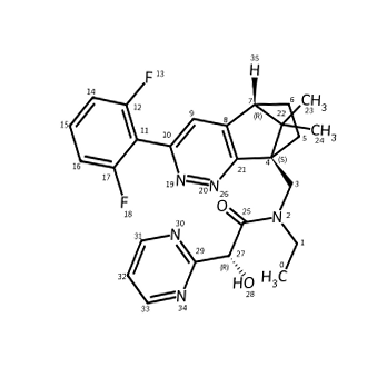 CCN(C[C@@]12CC[C@@H](c3cc(-c4c(F)cccc4F)nnc31)C2(C)C)C(=O)[C@H](O)c1ncccn1